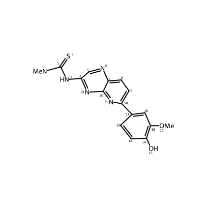 CNC(=S)Nc1cnc2ccc(-c3ccc(O)c(OC)c3)nc2n1